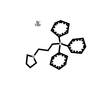 Br.[Br-].c1ccc([P+](CCCN2CCCC2)(c2ccccc2)c2ccccc2)cc1